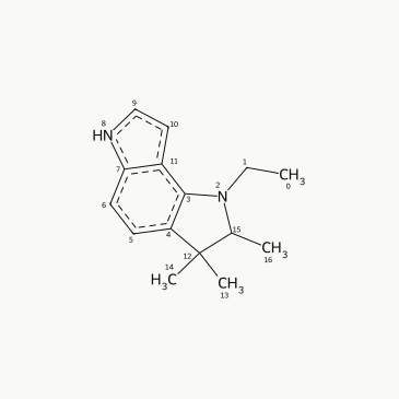 CCN1c2c(ccc3[nH]ccc23)C(C)(C)C1C